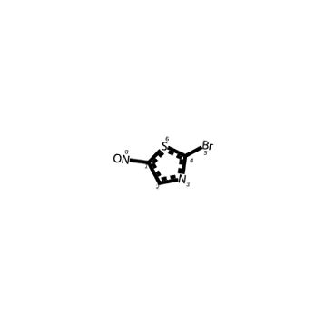 O=Nc1cnc(Br)s1